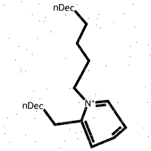 CCCCCCCCCCCCCC[n+]1ccccc1CCCCCCCCCCC